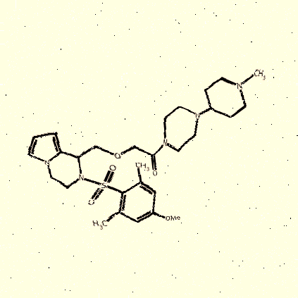 COc1cc(C)c(S(=O)(=O)N2CCn3cccc3C2COCC(=O)N2CCN(C3CCN(C)CC3)CC2)c(C)c1